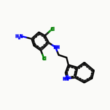 Nc1cc(Cl)c(NCCc2c[nH]c3ccccc23)c(Cl)c1